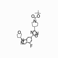 CC(C)(C)OC(=O)N1CCC(c2noc(-c3cc(F)c4cnn(C5CCOC5)c4c3)n2)CC1